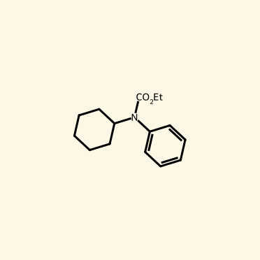 CCOC(=O)N(c1ccccc1)C1CCCCC1